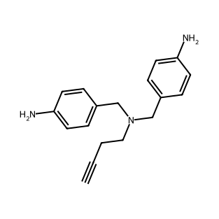 C#CCCN(Cc1ccc(N)cc1)Cc1ccc(N)cc1